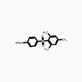 CCCCCc1ccc(S(=O)(=O)c2c(C)cc(C)cc2C)cc1